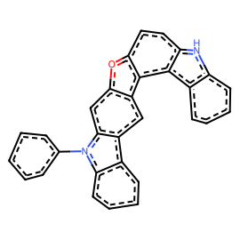 c1ccc(-n2c3ccccc3c3cc4c(cc32)oc2ccc3[nH]c5ccccc5c3c24)cc1